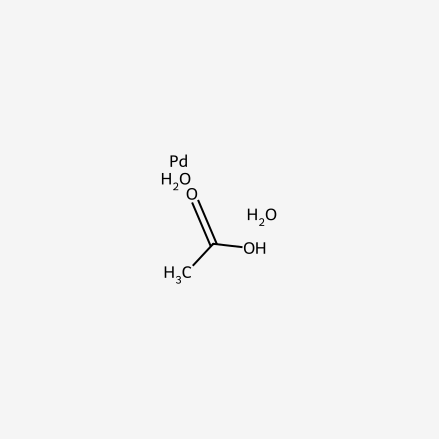 CC(=O)O.O.O.[Pd]